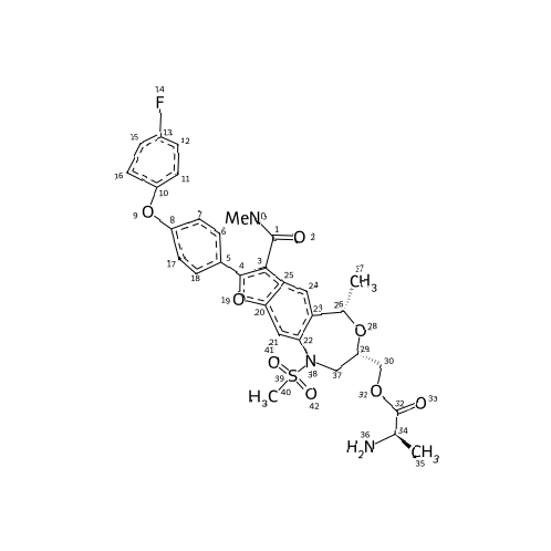 CNC(=O)c1c(-c2ccc(Oc3ccc(F)cc3)cc2)oc2cc3c(cc12)[C@H](C)O[C@H](COC(=O)[C@@H](C)N)CN3S(C)(=O)=O